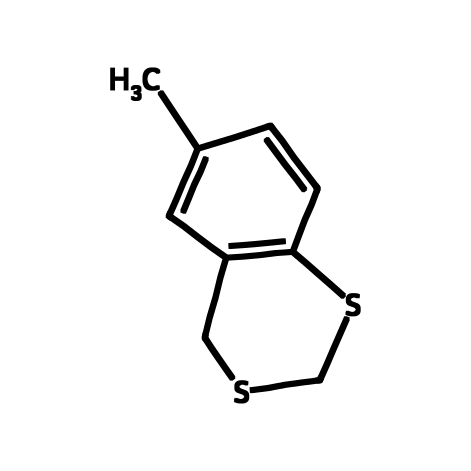 Cc1ccc2c(c1)CSCS2